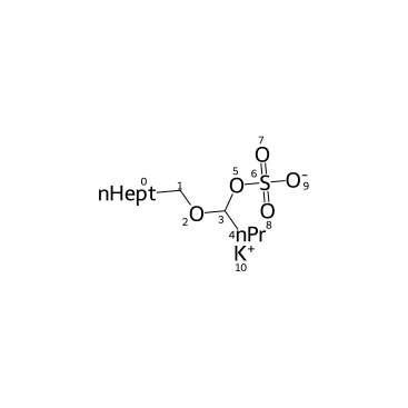 CCCCCCCCOC(CCC)OS(=O)(=O)[O-].[K+]